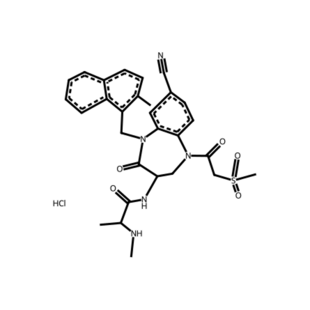 CNC(C)C(=O)NC1CN(C(=O)CS(C)(=O)=O)c2ccc(C#N)cc2N(Cc2c(C)ccc3ccccc23)C1=O.Cl